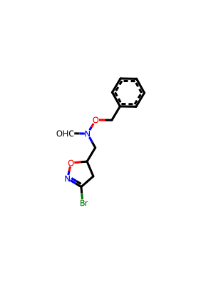 O=CN(CC1CC(Br)=NO1)OCc1ccccc1